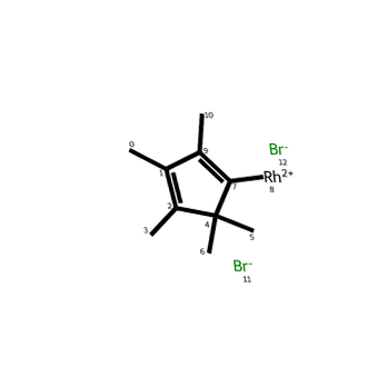 CC1=C(C)C(C)(C)[C]([Rh+2])=C1C.[Br-].[Br-]